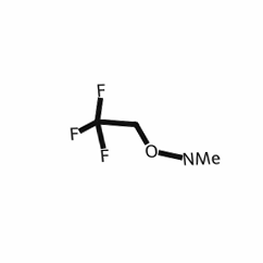 CNOCC(F)(F)F